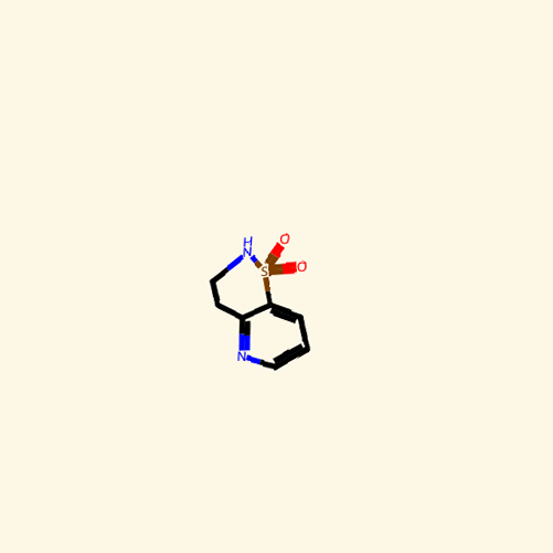 O=S1(=O)NCCc2ncccc21